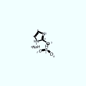 O=[SH](=O)Oc1ncc[nH]1.[NaH]